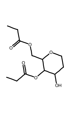 CCC(=O)OCC1OCCC(O)C1OC(=O)CC